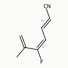 C=C(C)/C(F)=C\C=C\C#N